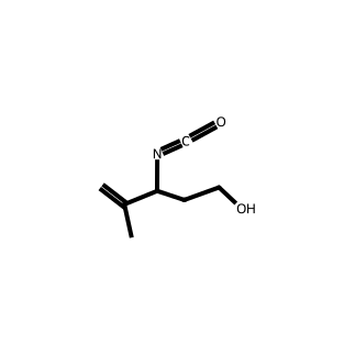 C=C(C)C(CCO)N=C=O